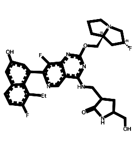 CCc1c(F)ccc2cc(O)cc(-c3ncc4c(NCC5CC(CO)NC5=O)nc(OC[C@@]56CCCN5C[C@H](F)C6)nc4c3F)c12